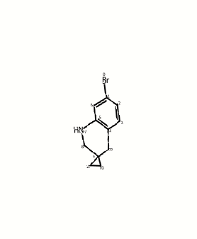 Brc1ccc2c(c1)NCC1(CC1)C2